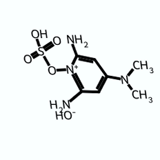 CN(C)c1cc(N)[n+](OS(=O)(=O)O)c(N)c1.[OH-]